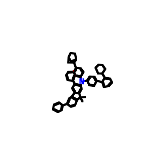 CC1(C)c2ccc(-c3ccccc3)cc2-c2cc(-c3ccccc3)c(N(c3ccc(-c4ccccc4C4CCCCC4)cc3)c3ccc(C4CC5CCC4C5)cc3)cc21